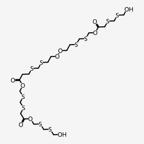 O=C(CCSCSCCOOCCSCSCOC(=O)CSCSCO)OCSCSCC(=O)OCSCSCO